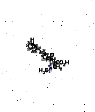 C=C(/C=C\C=C/C)[C@@H](CNC(=O)[C@@H]1CCCN(CCCc2ccc3c(n2)NCCC3)C1)C(=O)O